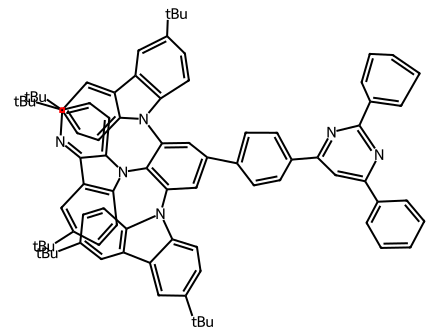 CC(C)(C)c1ccc2c(c1)c1cc(C(C)(C)C)ccc1n2-c1cc(-c2ccc(-c3cc(-c4ccccc4)nc(-c4ccccc4)n3)cc2)cc(-n2c3ccc(C(C)(C)C)cc3c3cc(C(C)(C)C)ccc32)c1-n1c2ccc(C(C)(C)C)cc2c2nc(C(C)(C)C)ccc21